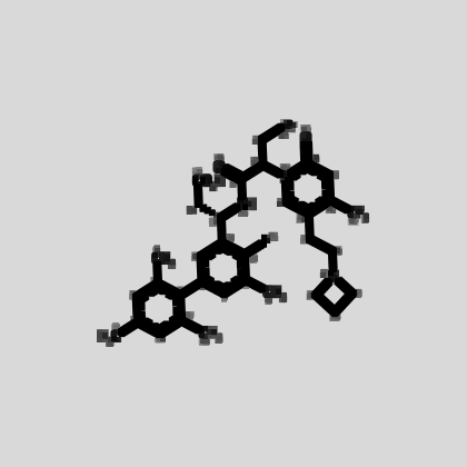 Cc1cc(C)c(-c2cc(C)c(F)c([C@H](CC(=O)O)NC(=O)C(CC(C)C)n3cc(CCN4CCC4)c(C(F)(F)F)cc3=O)c2)c(C)c1